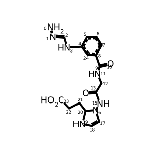 NN=CNc1cccc(C(=O)NCC(=O)NN2C=CNC2CCC(=O)O)c1